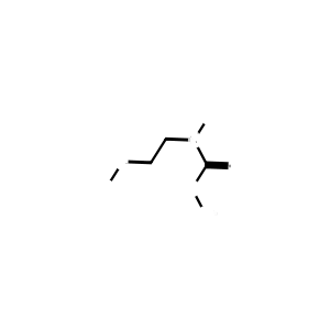 CCCSCCN(C)C(=O)OC(C)(C)C